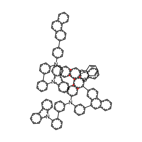 C1=CC2Oc3c(-c4ccc(N(c5cccc(-c6ccccc6-n6c7ccccc7c7ccccc76)c5)c5cccc(-c6cc7ccccc7c7ccc(-c8ccc(-c9ccc(N(c%10ccc(-c%11ccc%12c(ccc%13ccccc%13%12)c%11)cc%10)c%10cccc(-c%11ccccc%11-n%11c%12ccccc%12c%12ccccc%12%11)c%10)cc9)c9oc%10ccccc%10c89)cc67)c5)cc4)cccc3C2C=C1